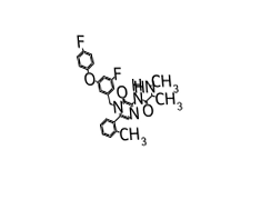 CNC(C)C(=O)Nc1ncc(-c2ccccc2C)n(Cc2cc(F)cc(Oc3ccc(F)cc3)c2)c1=O